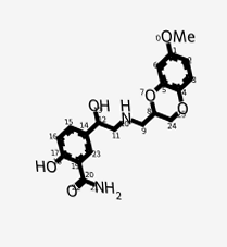 COc1ccc2c(c1)OC(CNCC(O)c1ccc(O)c(C(N)=O)c1)CO2